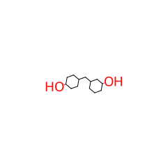 OC1CCC(CC2CCCC(O)C2)CC1